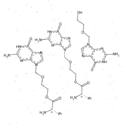 CC(C)[C@H](N)C(=O)OCCOCn1cnc2c(=O)[nH]c(N)nc21.CC(C)[C@H](N)C(=O)OCCOCn1cnc2c(=O)[nH]c(N)nc21.Nc1nc2c(ncn2COCCO)c(=O)[nH]1